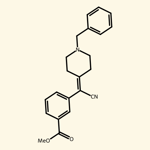 COC(=O)c1cccc(C(C#N)=C2CCN(Cc3ccccc3)CC2)c1